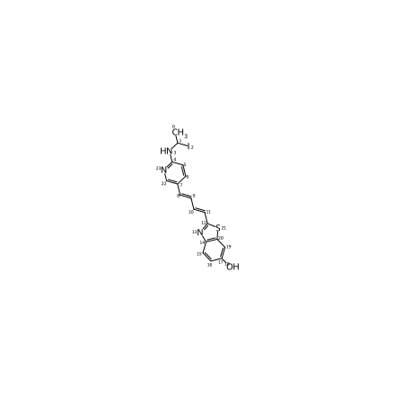 CC(I)Nc1ccc(/C=C/C=C/c2nc3ccc(O)cc3s2)cn1